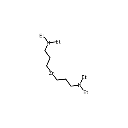 CCN(CC)CC[CH2][Zn][CH2]CCN(CC)CC